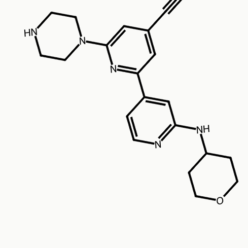 N#Cc1cc(-c2ccnc(NC3CCOCC3)c2)nc(N2CCNCC2)c1